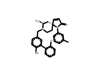 C[C@H]1C[C@@]2(C=CC(=O)N2c2cccc(F)c2)CCN1Cc1ccc(O)c(-c2ccccc2Cl)c1